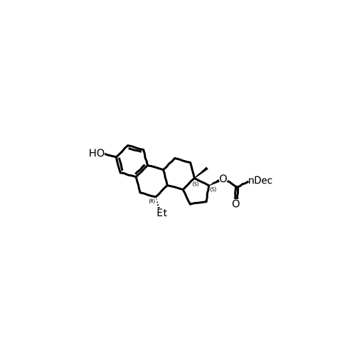 CCCCCCCCCCC(=O)O[C@H]1CCC2C3C(CC[C@@]21C)c1ccc(O)cc1C[C@H]3CC